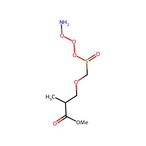 COC(=O)C(C)COCS(=O)OOON